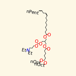 CCCCC/C=C\C/C=C\CCCCCCCC(=O)OCC(COC(=O)CCCCC(OCCCCCCCC)OCCCCCCCC)COC(=O)OCCCN(CC)CC